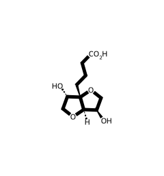 O=C(O)CCC[C@@]12OC[C@@H](O)[C@H]1OC[C@@H]2O